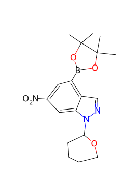 CC1(C)OB(c2cc([N+](=O)[O-])cc3c2cnn3C2CCCCO2)OC1(C)C